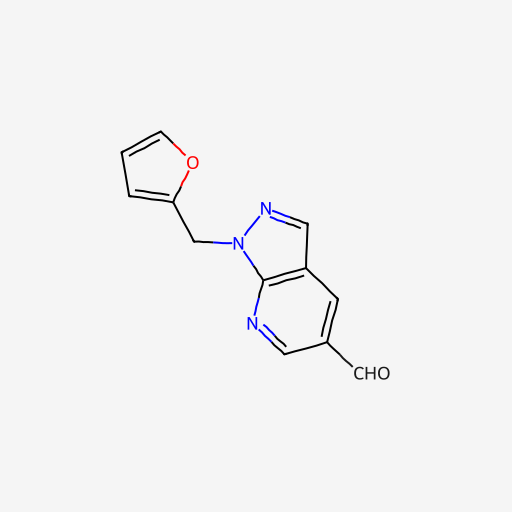 O=Cc1cnc2c(cnn2Cc2ccco2)c1